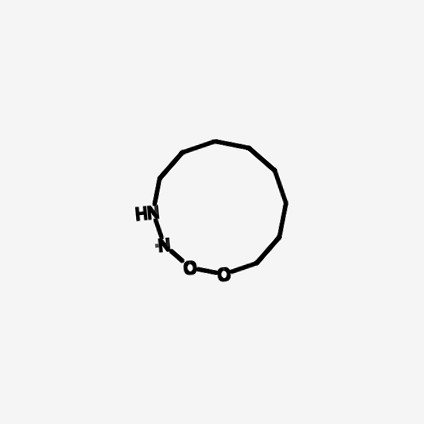 C1CCCCOO[N]NCCC1